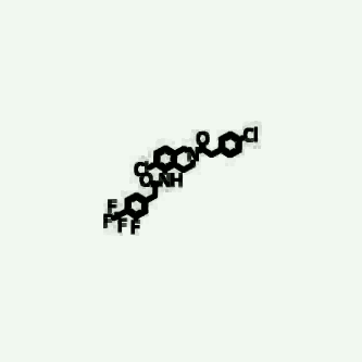 O=C(Cc1ccc(C(F)(F)F)c(F)c1)Nc1c(Cl)ccc2c1CCN(C(=O)Cc1ccc(Cl)cc1)C2